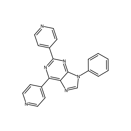 c1ccc(-n2cnc3c(-c4ccncc4)nc(-c4ccncc4)nc32)cc1